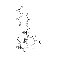 COc1ccc(CNc2nc(Cl)cc3cnc(C)n23)cc1